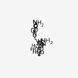 Nc1ccc(OC(=O)N2CCC(CCCc3nc(N)c4ncn([C@@H]5O[C@H](C(=O)NC6CC6)C(O)[C@@H]5O)c4n3)CC2)cc1